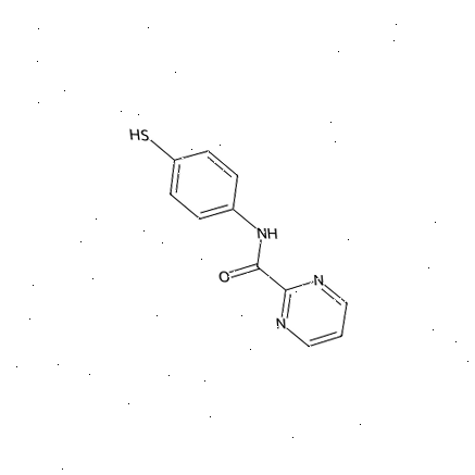 O=C(Nc1ccc(S)cc1)c1ncccn1